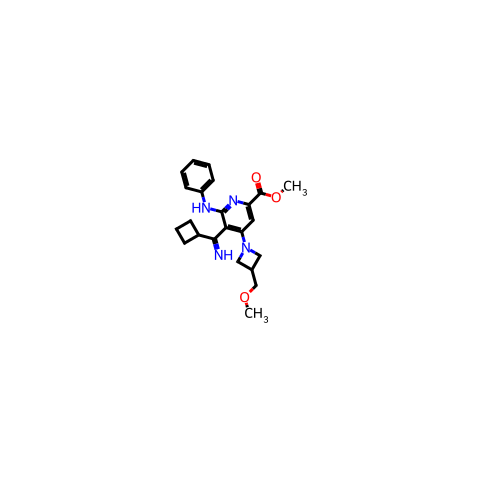 COCC1CN(c2cc(C(=O)OC)nc(Nc3ccccc3)c2C(=N)C2CCC2)C1